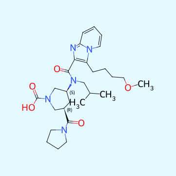 COCCCCc1c(C(=O)N(CC(C)C)[C@H]2C[C@@H](C(=O)N3CCCC3)CN(C(=O)O)C2)nc2ccccn12